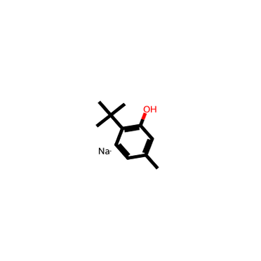 Cc1ccc(C(C)(C)C)c(O)c1.[Na]